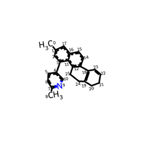 Cc1cc(-c2ccc(C)nc2)c2c3c(ccc2c1)C1=C(CCC=C1)CC3